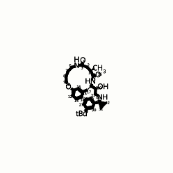 C[C@@H]1CC(=O)NCCCCOc2cccc(c2)C[C@@H]([C@H](O)CNC2(c3cccc(C(C)(C)C)c3)CC2)NC1=O